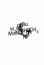 CNCCC[C@H](CCc1nccc2ccc(-c3noc(C)n3)cc12)CC(=O)Nc1nc(C)c(C(=O)OC(C)(C)C)s1